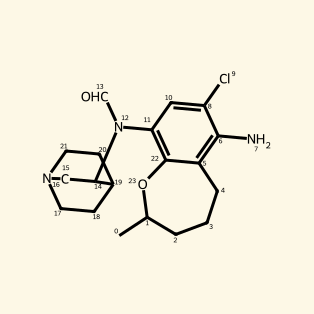 CC1CCCc2c(N)c(Cl)cc(N(C=O)C3CN4CCC3CC4)c2O1